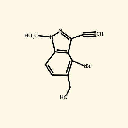 C#Cc1nn(C(=O)O)c2ccc(CO)c(C(C)(C)C)c12